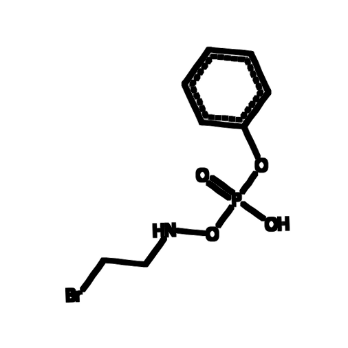 O=P(O)(ONCCBr)Oc1ccccc1